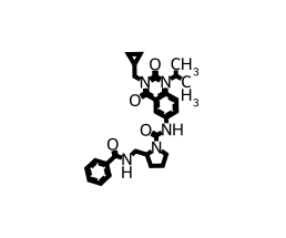 CC(C)n1c(=O)n(CC2CC2)c(=O)c2cc(NC(=O)N3CCCC3CNC(=O)c3ccccc3)ccc21